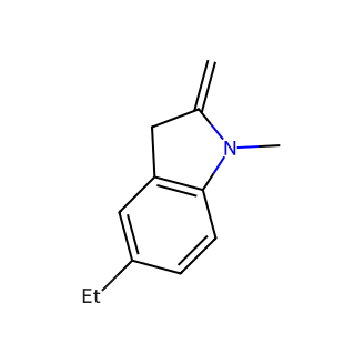 C=C1Cc2cc(CC)ccc2N1C